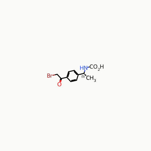 C[C@H](NC(=O)O)c1ccc(C(=O)CBr)cc1